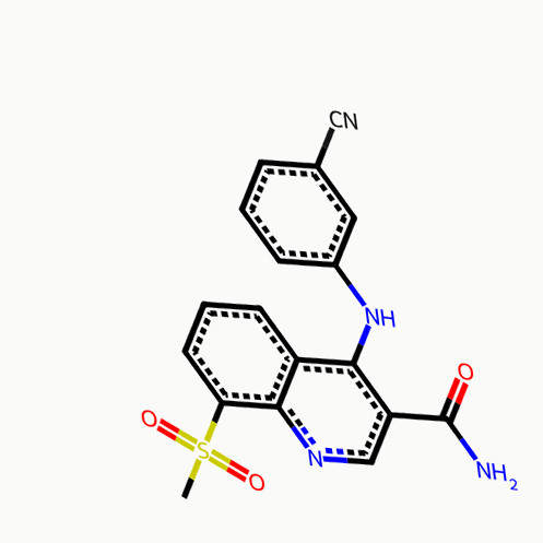 CS(=O)(=O)c1cccc2c(Nc3cccc(C#N)c3)c(C(N)=O)cnc12